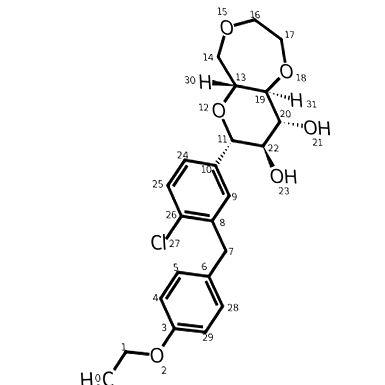 CCOc1ccc(Cc2cc([C@@H]3O[C@@H]4COCCO[C@H]4[C@H](O)[C@H]3O)ccc2Cl)cc1